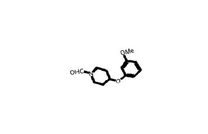 COc1cccc(OC2CCN(C=O)CC2)c1